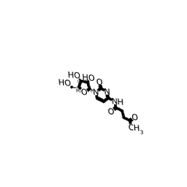 CC(=O)CCC(=O)Nc1ccn([C@@H]2O[C@H](CO)[C@@H](O)[C@H]2O)c(=O)n1